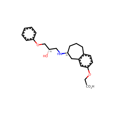 O=C(O)COc1ccc2c(c1)C[C@@H](NC[C@H](O)COc1ccccc1)CCC2